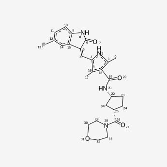 Cc1[nH]c(/C=C2\C(=O)Nc3ccc(F)cc32)c(C)c1C(=O)N[C@@H]1CC[C@H](C(=O)N2CCOCC2)C1